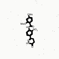 COc1ccc(C(=O)Nc2ccc(C3=NNC(=O)CC3)cc2[N+](=O)[O-])c(OC)c1